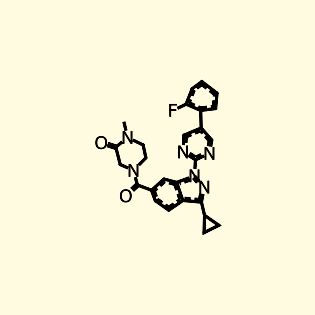 CN1CCN(C(=O)c2ccc3c(C4CC4)nn(-c4ncc(-c5ccccc5F)cn4)c3c2)CC1=O